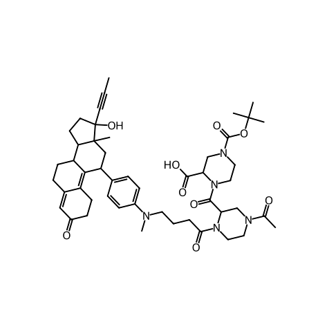 CC#CC1(O)CCC2C3CCC4=CC(=O)CCC4=C3C(c3ccc(N(C)CCCC(=O)N4CCN(C(C)=O)CC4C(=O)N4CCN(C(=O)OC(C)(C)C)CC4C(=O)O)cc3)CC21C